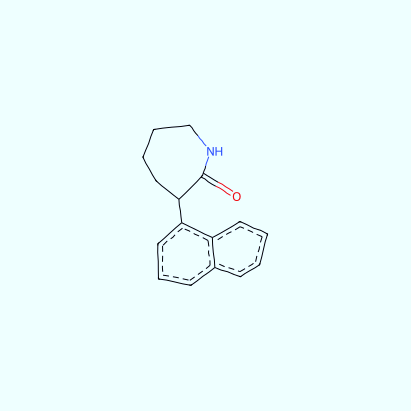 O=C1NCCCCC1c1cccc2ccccc12